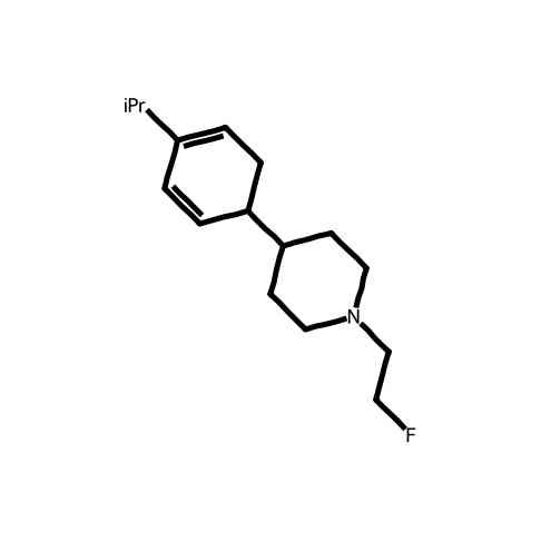 CC(C)C1=CCC(C2CCN(CCF)CC2)C=C1